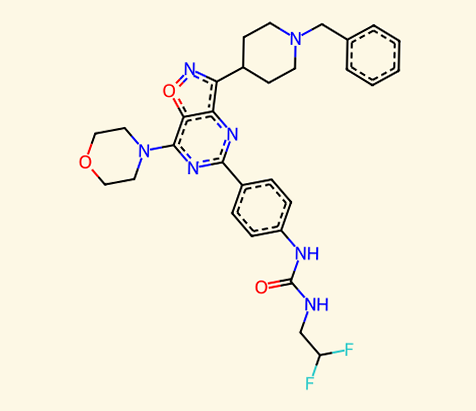 O=C(NCC(F)F)Nc1ccc(-c2nc(N3CCOCC3)c3onc(C4CCN(Cc5ccccc5)CC4)c3n2)cc1